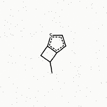 CC1Cc2sccc21